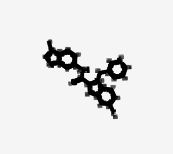 Cn1cnc2cc(NC(=O)c3cc4cc(F)ccc4n3Cc3cccnc3)ccc21